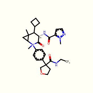 Cn1nccc1C(=O)N[C@@H]1C(=O)[N+](C)(c2ccc(C3(C(=O)NCC(F)(F)F)CCOC3)cc2)C2CC2(C)C1C1CCC1